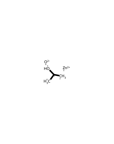 CC(C)O.[O-2].[Zn+2]